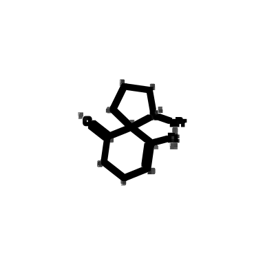 CCCN1CCCC12C(=O)CCC=C2CC